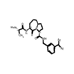 CN[C@@H](C)C(=O)N[C@H]1CCCC2CC[C@@H](C(=O)NCc3cccc(C(C(C)=O)C(C)=O)c3)N2C1=O